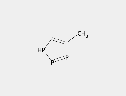 Cc1c[pH]pp1